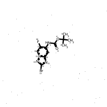 CC(C)(C)OC(=O)Nc1cc2nc(Br)nn2cc1F